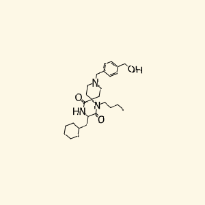 CCCCN1C(=O)C(CC2CCCCC2)NC(=O)C12CCN(Cc1ccc(CO)cc1)CC2